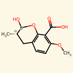 COc1ccc2c(c1C(=O)O)OB(O)[C@@H](C)C2